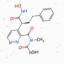 CCCCCCCCCCC(=O)N(C)C(=O)c1nnccc1[C@H](CCc1ccccc1)C(=O)NO